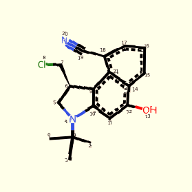 CC(C)(C)N1C[C@@H](CCl)c2c1cc(O)c1cccc(C#N)c21